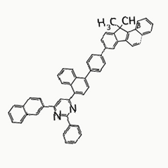 CC1(C)c2ccc(-c3ccc(-c4ccc(-c5cc(-c6ccc7ccccc7c6)nc(-c6ccccc6)n5)c5ccccc45)cc3)cc2-c2ccc3ccccc3c21